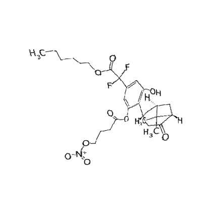 CCCCCCOC(=O)C(F)(F)c1cc(O)c([C@H]2CC(=O)[C@H]3C[C@H]2C3(C)C)c(OC(=O)CCCO[N+](=O)[O-])c1